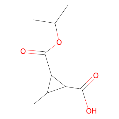 CC(C)OC(=O)C1C(C)C1C(=O)O